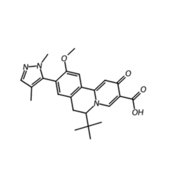 COc1cc2c(cc1-c1c(C)cnn1C)CC(C(C)(C)C)n1cc(C(=O)O)c(=O)cc1-2